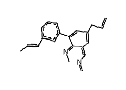 C=CCC1=CC(=C/N=C)/C(=N\C)C(c2cccc(/C=C/C)c2)=C1